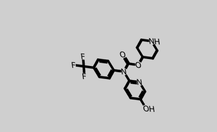 O=C(OC1CCNCC1)N(c1ccc(C(F)(F)F)cc1)c1ccc(O)cn1